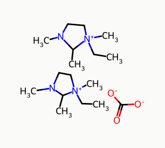 CC[N+]1(C)CCN(C)C1C.CC[N+]1(C)CCN(C)C1C.O=C([O-])[O-]